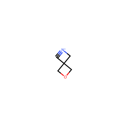 C1#[N+]CC12COC2